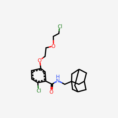 O=C(NCC12CC3CC(CC(C3)C1)C2)c1cc(OCCOCCCl)ccc1Cl